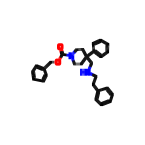 O=C(OCc1ccccc1)N1CCC(CNCCc2ccccc2)(c2ccccc2)CC1